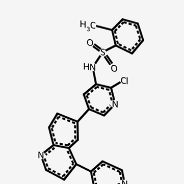 Cc1ccccc1S(=O)(=O)Nc1cc(-c2ccc3nccc(-c4ccncc4)c3c2)cnc1Cl